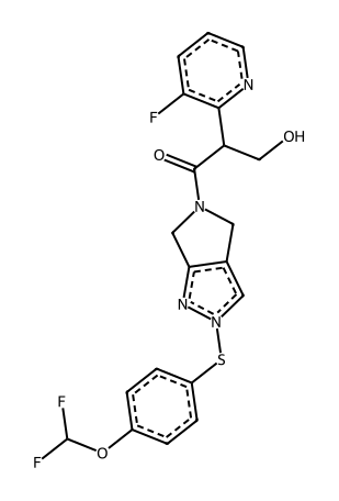 O=C(C(CO)c1ncccc1F)N1Cc2cn(Sc3ccc(OC(F)F)cc3)nc2C1